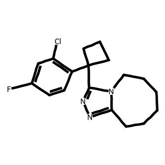 Fc1ccc(C2(c3nnc4n3CCCCCC4)CCC2)c(Cl)c1